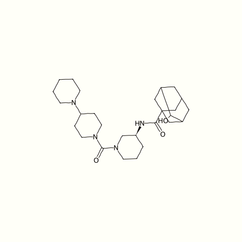 O=C(N1CCC(N2CCCCC2)CC1)N1CCC[C@H](NC(=O)C23CC4CC(C2)C(O)C(C4)C3)C1